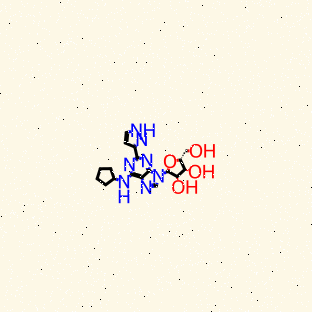 OC[C@H]1OC(n2cnc3c(NC4CCCC4)nc(-c4cc[nH]n4)nc32)[C@H](O)[C@@H]1O